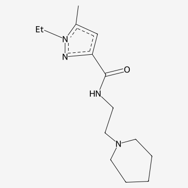 CCn1nc(C(=O)NCCN2CCCCC2)cc1C